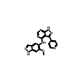 COc1cc2[nH]ncc2cc1Nc1ncnc2[nH]nc(-c3ccncc3)c12